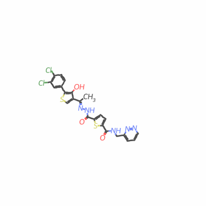 C/C(=N\NC(=O)c1ccc(C(=O)NCc2cccnn2)s1)c1csc(-c2ccc(Cl)c(Cl)c2)c1O